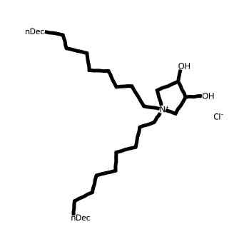 CCCCCCCCCCCCCCCCCC[N+]1(CCCCCCCCCCCCCCCCCC)CC(O)C(O)C1.[Cl-]